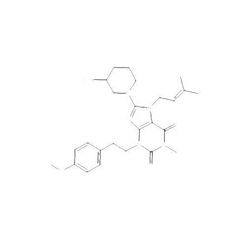 CC(C)=CCn1c(N2CCCC(N)C2)nc2c1c(=O)n(C)c(=O)n2CCc1ccc(OC(F)(F)F)cc1